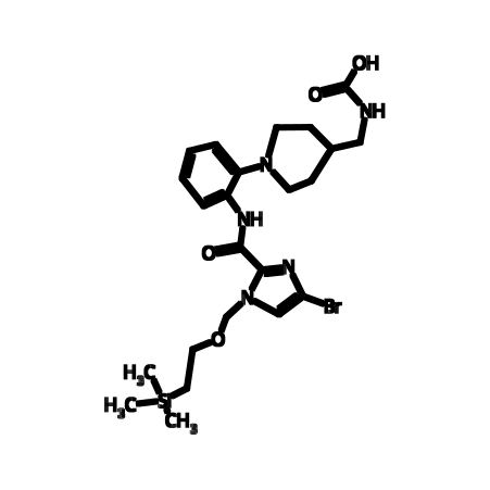 C[Si](C)(C)CCOCn1cc(Br)nc1C(=O)Nc1ccccc1N1CCC(CNC(=O)O)CC1